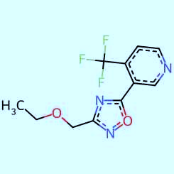 CCOCc1noc(-c2cnccc2C(F)(F)F)n1